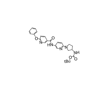 CC(C)(C)OC(=O)NC1CCN(c2ccc(NC(=O)c3ccc(Oc4ccccc4)nc3)cn2)C1